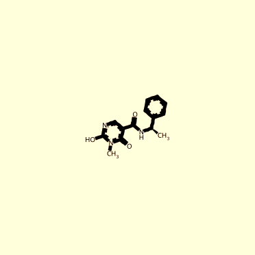 C[C@@H](NC(=O)c1cnc(O)n(C)c1=O)c1ccccc1